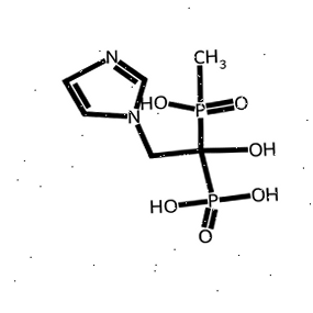 CP(=O)(O)C(O)(Cn1ccnc1)P(=O)(O)O